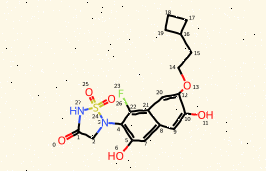 O=C1CN(c2c(O)cc3cc(O)c(OCCC4CCC4)cc3c2F)S(=O)(=O)N1